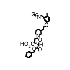 Cc1ccc(OCCC2CCCN(C(=O)CC(NC(=O)OCc3ccccc3)C(=O)O)C2)cc1CN=C=O